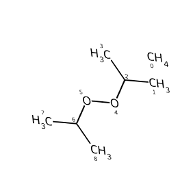 C.CC(C)OOC(C)C